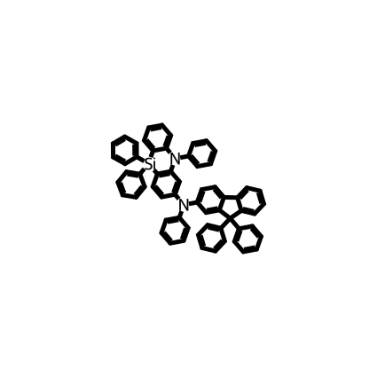 c1ccc(N(c2ccc3c(c2)N(c2ccccc2)c2ccccc2[Si]3(c2ccccc2)c2ccccc2)c2ccc3c(c2)C(c2ccccc2)(c2ccccc2)c2ccccc2-3)cc1